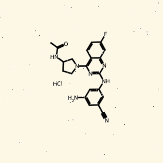 CC(=O)NC1CCN(c2nc(Nc3cc(N)cc(C#N)c3)nc3cc(F)ccc23)C1.Cl